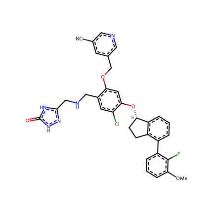 COc1cccc(-c2cccc3c2CC[C@@H]3Oc2cc(OCc3cncc(C#N)c3)c(CNCc3n[nH]c(=O)[nH]3)cc2Cl)c1F